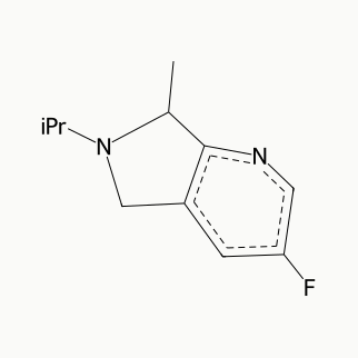 CC(C)N1Cc2cc(F)cnc2C1C